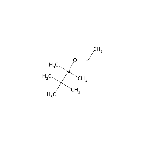 CCO[Si](C)(C)C(C)(C)C